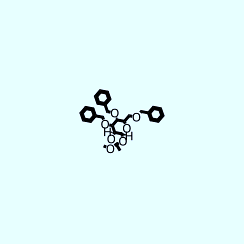 COC1(C)O[C@H]2OC(COCc3ccccc3)[C@H](OCc3ccccc3)C(OCc3ccccc3)[C@@H]2O1